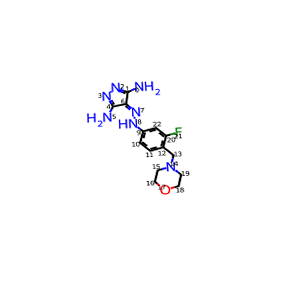 NC1=NN=C(N)C1=NNc1ccc(CN2CCOCC2)c(F)c1